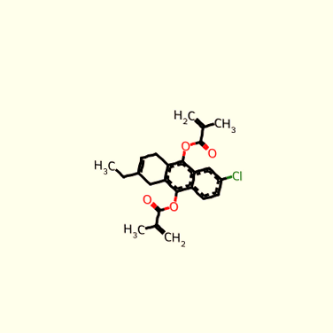 C=C(C)C(=O)Oc1c2c(c(OC(=O)C(=C)C)c3ccc(Cl)cc13)CC(CC)=CC2